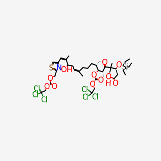 CC[Si](CC)(CC)O[C@@H](CC(=O)O)C(C)(C)C(=O)[C@H](C)[C@@H](OC(=O)OCC(Cl)(Cl)Cl)[C@@H](C)CCCC(C)=CCC(O)C(C)=Cc1csc(COC(=O)OCC(Cl)(Cl)Cl)n1